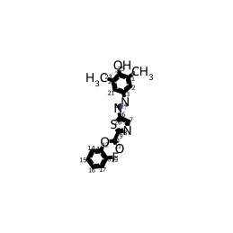 Cc1cc(/N=N/c2cnc(C(=O)Oc3ccccc3F)s2)cc(C)c1O